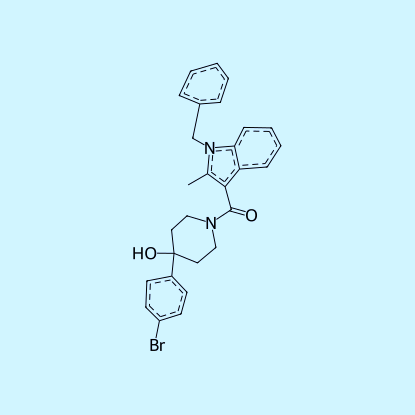 Cc1c(C(=O)N2CCC(O)(c3ccc(Br)cc3)CC2)c2ccccc2n1Cc1ccccc1